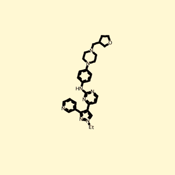 CCn1cc(-c2ccnc(Nc3ccc(N4CCN(CC5CCOC5)CC4)cc3)n2)c(-c2cccnc2)n1